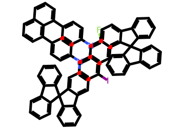 Fc1cccc(N(c2ccc(-c3cccc4cccc(-c5ccc(N(c6cccc(I)c6)c6ccc7c(c6)C6(c8ccccc8-c8ccccc86)c6ccccc6-7)cc5)c34)cc2)c2ccc3c(c2)C2(c4ccccc4-c4ccccc42)c2ccccc2-3)c1